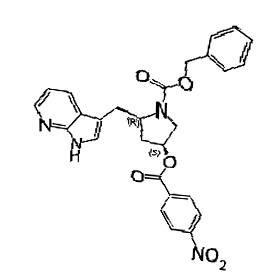 O=C(O[C@H]1C[C@@H](Cc2c[nH]c3ncccc23)N(C(=O)OCc2ccccc2)C1)c1ccc([N+](=O)[O-])cc1